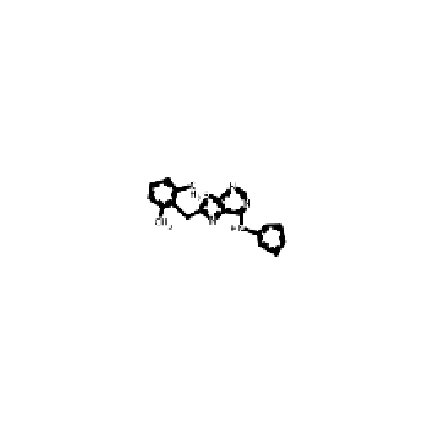 Cc1cccc(C)c1Cc1nc2c(Nc3ccccc3)ncnc2s1